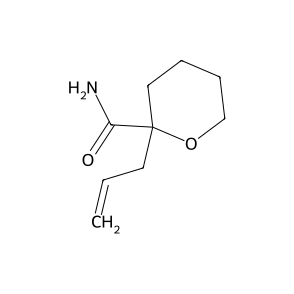 C=CCC1(C(N)=O)CCCCO1